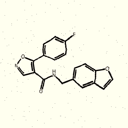 O=C(NCc1ccc2occc2c1)c1cnoc1-c1ccc(F)cc1